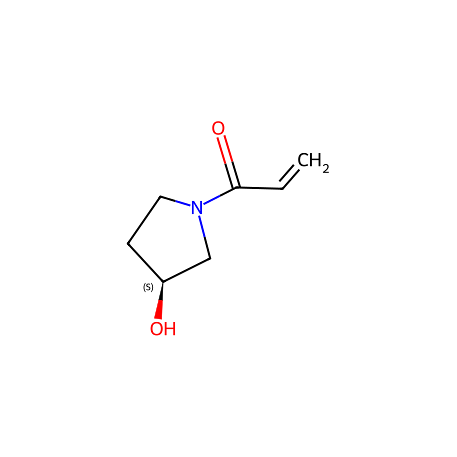 C=CC(=O)N1CC[C@H](O)C1